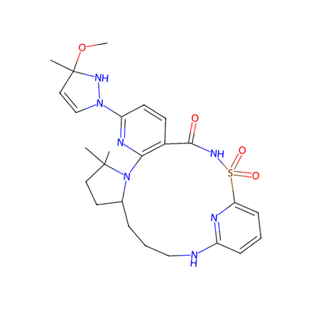 COC1(C)C=CN(c2ccc3c(n2)N2C(CCCNc4cccc(n4)S(=O)(=O)NC3=O)CCC2(C)C)N1